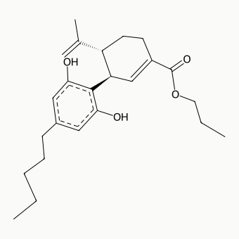 C=C(C)[C@@H]1CCC(C(=O)OCCC)=C[C@H]1c1c(O)cc(CCCCC)cc1O